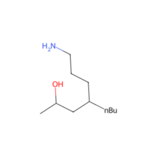 CCCCC(CCCN)CC(C)O